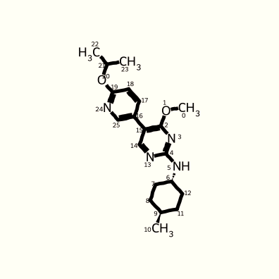 COc1nc(N[C@H]2CC[C@H](C)CC2)ncc1-c1ccc(OC(C)C)nc1